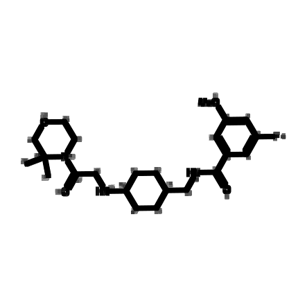 COc1cc(F)cc(C(=O)NCC2CCC(NCC(=O)N3CCOCC3(C)C)CC2)c1